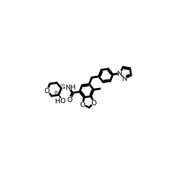 Cc1c(Cc2ccc(-n3cccn3)cc2)cc(C(=O)N[C@H]2CCOC[C@@H]2O)c2c1OCO2